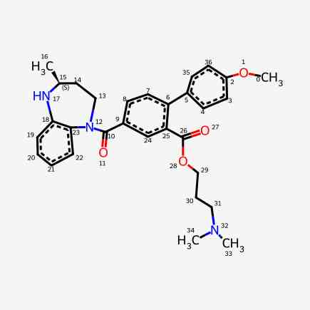 COc1ccc(-c2ccc(C(=O)N3CC[C@H](C)Nc4ccccc43)cc2C(=O)OCCCN(C)C)cc1